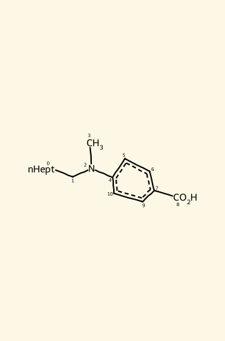 CCCCCCCCN(C)c1ccc(C(=O)O)cc1